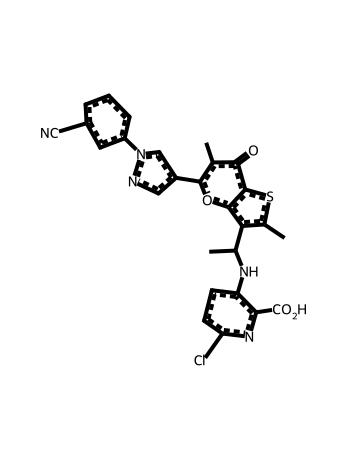 Cc1sc2c(=O)c(C)c(-c3cnn(-c4cccc(C#N)c4)c3)oc2c1C(C)Nc1ccc(Cl)nc1C(=O)O